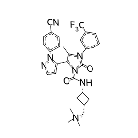 Cc1c(-c2ccnn2-c2ccc(C#N)cc2)n(C(=O)N[C@H]2C[C@@H](C[N+](C)(C)C)C2)c(=O)n1-c1cccc(C(F)(F)F)c1